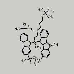 Cc1ccc2c(c1)C1C(C3C=CC=CC3C1[Si](C)(CCCCCCOC(C)(C)C)C1C3C=C(C(C)(C)C)C=CC3C3C=CC(C(C)(C)C)=CC31)N2C